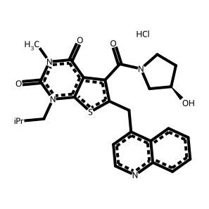 CC(C)Cn1c(=O)n(C)c(=O)c2c(C(=O)N3CC[C@@H](O)C3)c(Cc3ccnc4ccccc34)sc21.Cl